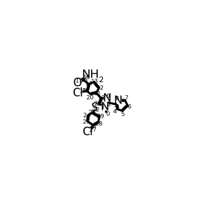 Cn1c(-c2ccccn2)nc(-c2ccc(C(N)=O)c(Cl)c2)c1Sc1ccc(Cl)cc1